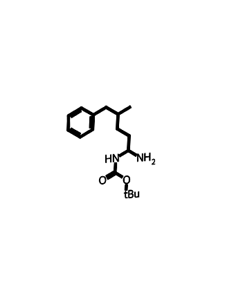 CC(CCC(N)NC(=O)OC(C)(C)C)Cc1ccccc1